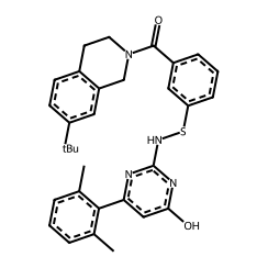 Cc1cccc(C)c1-c1cc(O)nc(NSc2cccc(C(=O)N3CCc4ccc(C(C)(C)C)cc4C3)c2)n1